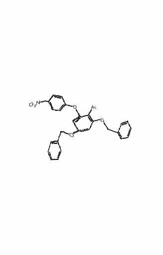 CC(=O)c1c(OCc2ccccc2)cc(OCc2ccccc2)cc1Oc1ccc([N+](=O)[O-])cc1